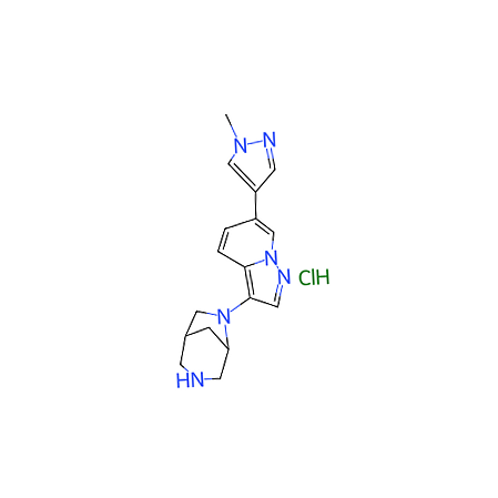 Cl.Cn1cc(-c2ccc3c(N4CC5CNCC4C5)cnn3c2)cn1